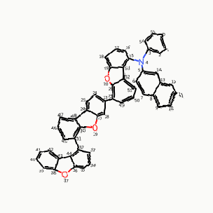 c1ccc(N(c2ccc3ccccc3c2)c2cccc3oc4c(-c5ccc6c(c5)oc5c(-c7cccc8oc9ccccc9c78)cccc56)cccc4c23)cc1